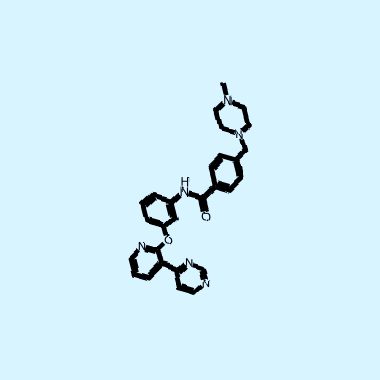 CN1CCN(Cc2ccc(C(=O)Nc3cccc(Oc4ncccc4-c4ccncn4)c3)cc2)CC1